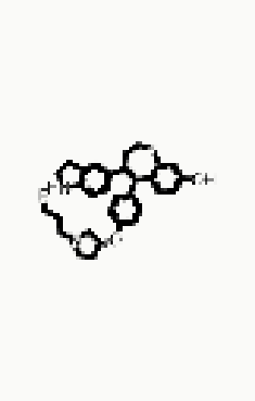 Oc1ccc2c(c1)SCCC(c1ccc3c(c1)CCN3)=C2c1ccc(O[C@H]2CCN(CCCF)C2)cc1